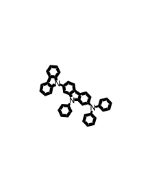 c1ccc(N(c2ccccc2)c2ccc3c4ccc(-n5c6ccccc6c6ccccc65)cc4n(-c4ccccc4)c3c2)cc1